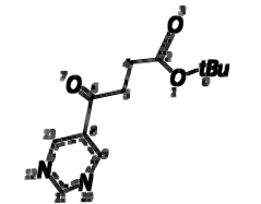 CC(C)(C)OC(=O)CCC(=O)c1cncnc1